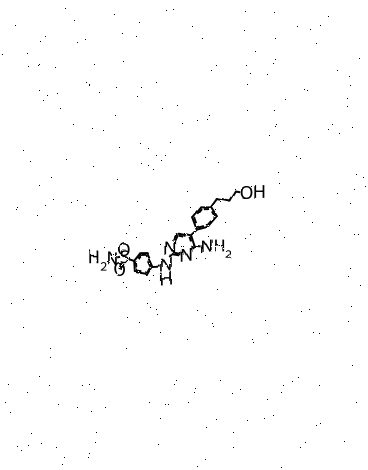 Nc1nc(Nc2ccc(S(N)(=O)=O)cc2)ncc1-c1ccc(CCCO)cc1